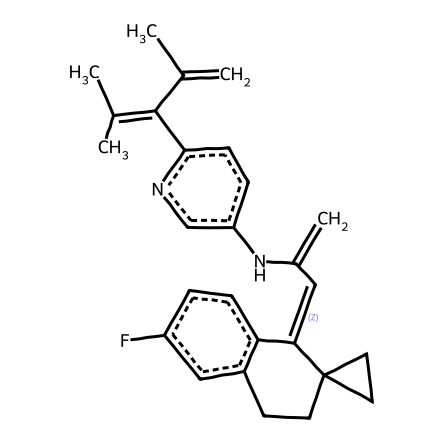 C=C(/C=C1\c2ccc(F)cc2CCC12CC2)Nc1ccc(C(C(=C)C)=C(C)C)nc1